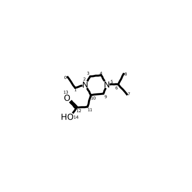 CCN1CCN(C(C)C)CC1CC(=O)O